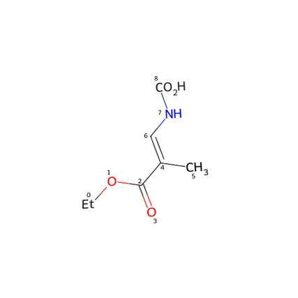 CCOC(=O)C(C)=CNC(=O)O